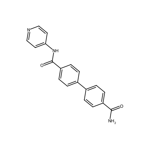 NC(=O)c1ccc(-c2ccc(C(=O)Nc3ccncc3)cc2)cc1